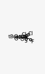 CC(C)(C)OC(=O)N1CCN(NC(=O)c2nn(-c3ccc(Cl)cc3Cl)c3c2CSC/C3=C\c2ccc(F)cc2)CC1